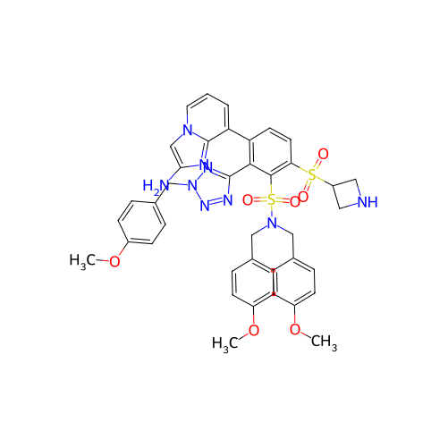 COc1ccc(CN(Cc2ccc(OC)cc2)S(=O)(=O)c2c(S(=O)(=O)C3CNC3)ccc(-c3cccn4cc(N)nc34)c2-c2nnn(Cc3ccc(OC)cc3)n2)cc1